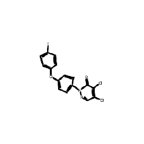 O=c1c(Cl)c(Cl)cnn1-c1ccc(Oc2ccc(F)cc2)cc1